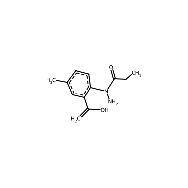 C=C(O)c1cc(C)ccc1N(N)C(=O)CC